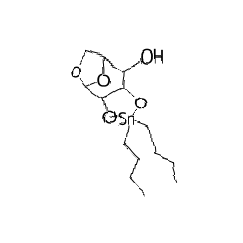 CCC[CH2][Sn]1([CH2]CCC)[O]C2C3OCC(O3)C(O)C2[O]1